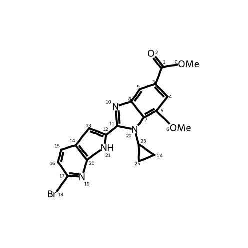 COC(=O)c1cc(OC)c2c(c1)nc(-c1cc3ccc(Br)nc3[nH]1)n2C1CC1